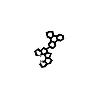 c1cnc2c3c(ccc2c1)Cc1c(-c2ccc4c5ccccc5c5ccccc5c4c2)cc2cccnc2c1-3